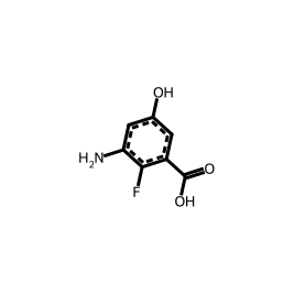 Nc1cc(O)cc(C(=O)O)c1F